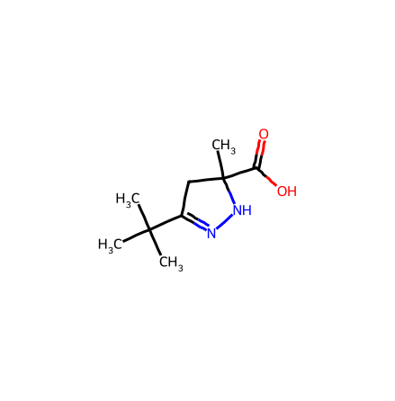 CC(C)(C)C1=NNC(C)(C(=O)O)C1